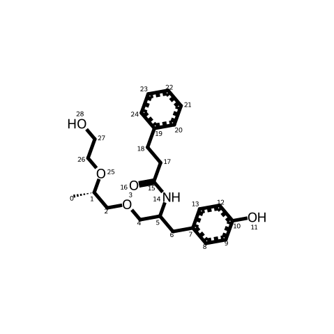 C[C@@H](COCC(Cc1ccc(O)cc1)NC(=O)CCc1ccccc1)OCCO